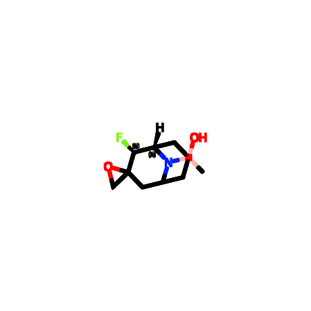 CB(O)N1C2CCC[C@H]1[C@H](F)C1(CO1)C2